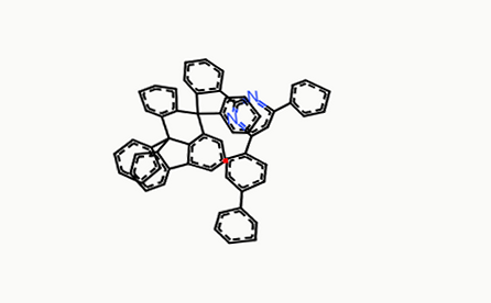 c1ccc(-c2ccc(-c3cc(-c4ccccc4)nc(-c4ccccc4C4(c5ccccc5)c5ccccc5C5(c6ccccc6)c6ccccc6-c6cccc4c65)n3)cc2)cc1